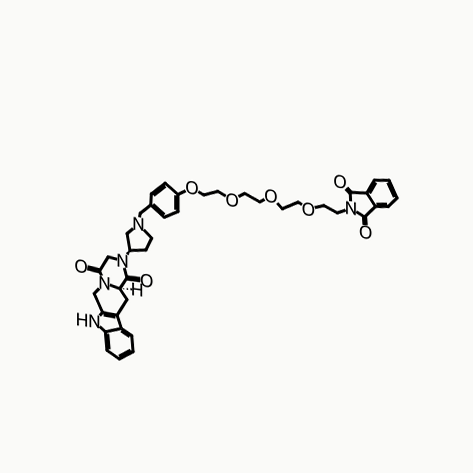 O=C1c2ccccc2C(=O)N1CCOCCOCCOCCOc1ccc(CN2CC[C@@H](N3CC(=O)N4Cc5[nH]c6ccccc6c5C[C@@H]4C3=O)C2)cc1